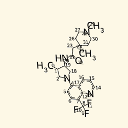 CC1CN(c2ccc(C(F)(F)F)c3ncccc23)CC1NC(=O)CC1(C)CCN(C)CC1